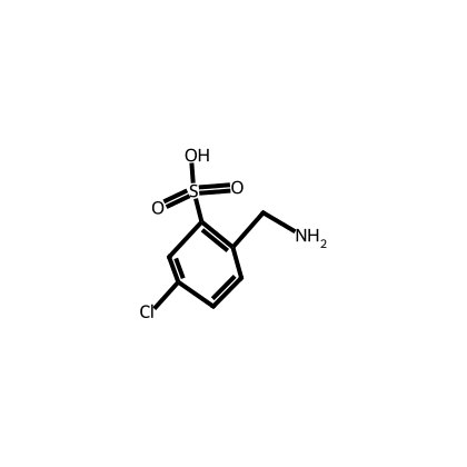 NCc1ccc(Cl)cc1S(=O)(=O)O